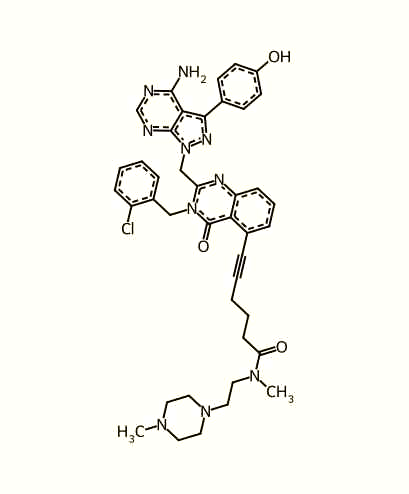 CN1CCN(CCN(C)C(=O)CCCC#Cc2cccc3nc(Cn4nc(-c5ccc(O)cc5)c5c(N)ncnc54)n(Cc4ccccc4Cl)c(=O)c23)CC1